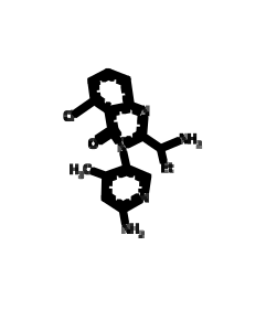 CCC(N)c1nc2cccc(Cl)c2c(=O)n1-c1cnc(N)cc1C